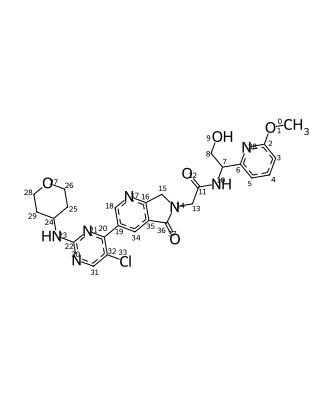 COc1cccc(C(CO)NC(=O)CN2Cc3ncc(-c4nc(NC5CCOCC5)ncc4Cl)cc3C2=O)n1